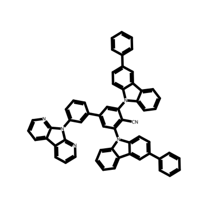 N#Cc1c(-n2c3ccccc3c3cc(-c4ccccc4)ccc32)cc(-c2cccc(-n3c4ncccc4c4cccnc43)c2)cc1-n1c2ccccc2c2cc(-c3ccccc3)ccc21